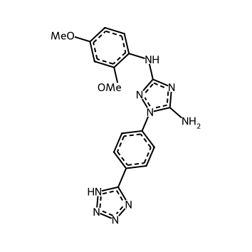 COc1ccc(Nc2nc(N)n(-c3ccc(-c4nnn[nH]4)cc3)n2)c(OC)c1